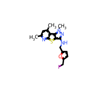 Cc1cc(C)c2c(n1)sc1c(NCc3ccc(CI)o3)nn(C)c12